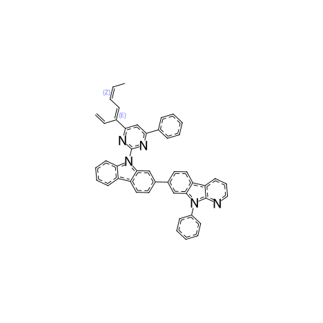 C=C/C(=C\C=C/C)c1cc(-c2ccccc2)nc(-n2c3ccccc3c3ccc(-c4ccc5c6cccnc6n(-c6ccccc6)c5c4)cc32)n1